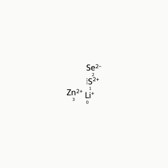 [Li+].[S+2].[Se-2].[Zn+2]